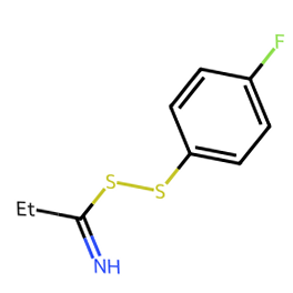 CCC(=N)SSc1ccc(F)cc1